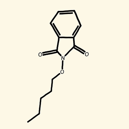 CCCCCON1C(=O)c2ccccc2C1=O